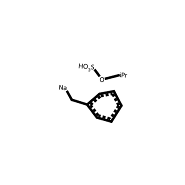 CC(C)OS(=O)(=O)O.[Na][CH2]c1ccccc1